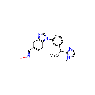 COC(c1cccc(-n2cnc3cc(/C=N/O)ccc32)c1)c1nccn1C